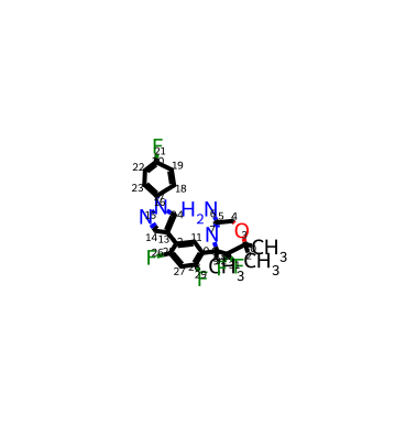 CC1(C)OCC(N)=NC(C)(c2cc(-c3cnn(-c4ccc(F)cc4)c3)c(F)cc2F)C1(F)F